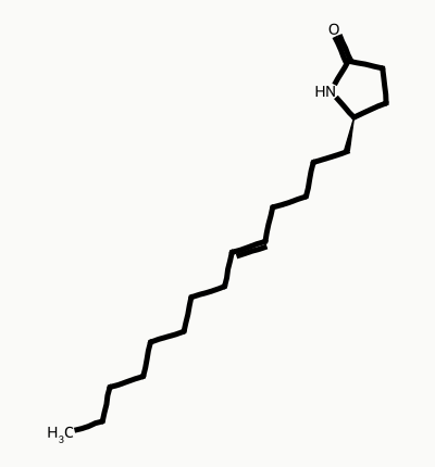 CCCCCCCC/C=C/CCCC[C@@H]1CCC(=O)N1